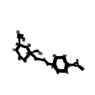 COc1ccc(CCC[N@+]2(C)CCC[C@H](N)C2)cc1